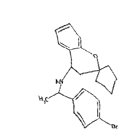 CC(NC1CC2(CCCC2)Oc2ccccc21)c1ccc(Br)cc1